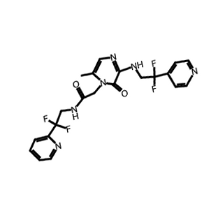 Cc1cnc(NCC(F)(F)c2ccncc2)c(=O)n1CC(=O)NCC(F)(F)c1ccccn1